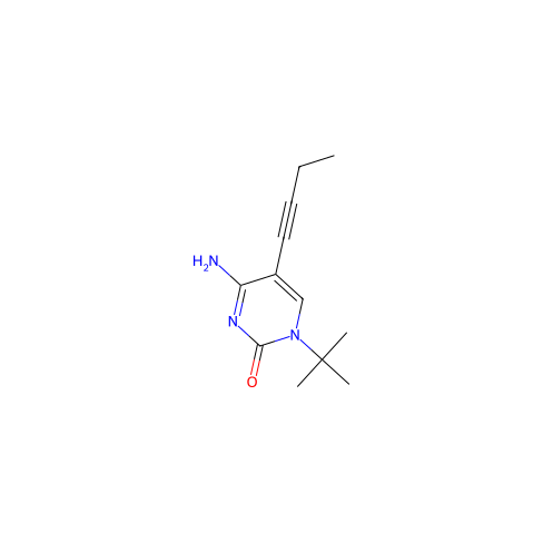 CCC#Cc1cn(C(C)(C)C)c(=O)nc1N